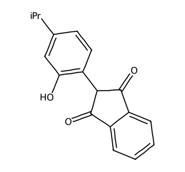 CC(C)c1ccc(C2C(=O)c3ccccc3C2=O)c(O)c1